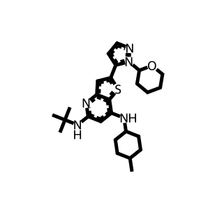 CC1CCC(Nc2cc(NC(C)(C)C)nc3cc(-c4ccnn4C4CCCCO4)sc23)CC1